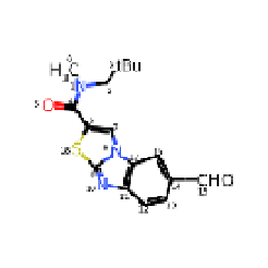 CN(CC(C)(C)C)C(=O)c1cn2c(nc3ccc(C=O)cc32)s1